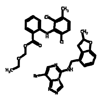 CC1Cc2c(CNc3ncc(Br)c4nncn34)cccc2O1.CCOCOC(=O)c1ccccc1Nc1c(Cl)ccc(C)c1Cl